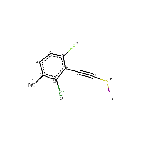 N#Cc1ccc(F)c(C#CSI)c1Cl